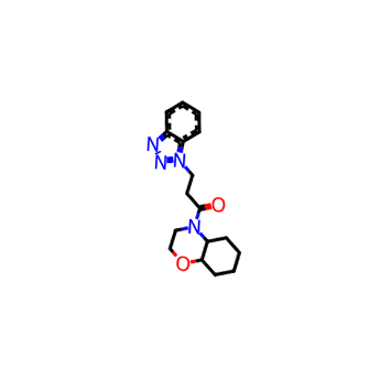 O=C(CCn1nnc2ccccc21)N1CCOC2CCCCC21